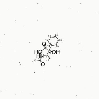 CC(=O)N[C@H](C)[C@](O)(C(=O)O)c1ccccc1